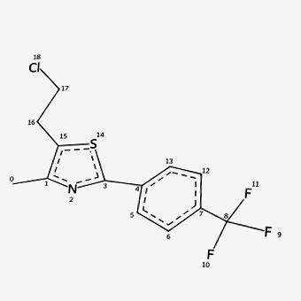 Cc1nc(-c2ccc(C(F)(F)F)cc2)sc1CCCl